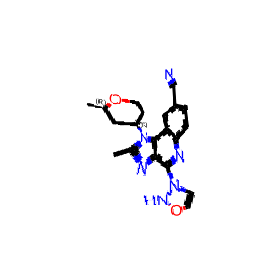 Cc1nc2c(N3C=CON3)nc3ccc(C#N)cc3c2n1[C@@H]1CCO[C@H](C)C1